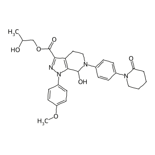 COc1ccc(-n2nc(C(=O)OCC(C)O)c3c2C(O)N(c2ccc(N4CCCCC4=O)cc2)CC3)cc1